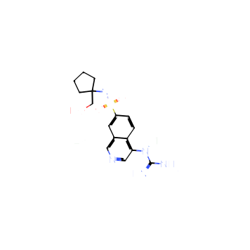 Cl.N=C(N)N(Cl)c1cncc2cc(S(=O)(=O)NC3(CO)CCCC3)ccc12